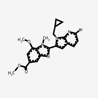 COC(=O)c1cc(OC)c2c(c1)nc(-c1cc3ccc(Br)nc3n1CC1CC1)n2C